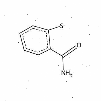 NC(=O)c1ccccc1[S]